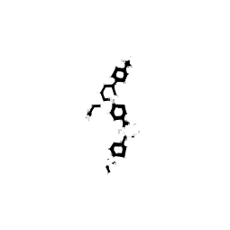 CCS(=O)(=O)c1ccc([C@H](CO)NC(=O)c2ccc(N3CC(c4ccc(C(F)(F)F)cc4)CC[C@H]3CCC#N)cc2)cc1